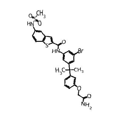 CC(C)(c1cc(Br)cc(NC(=O)c2cc3cc(NS(C)(=O)=O)ccc3s2)c1)c1cccc(OCC(N)=O)c1